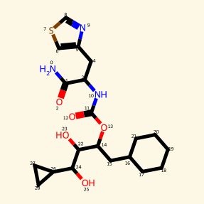 NC(=O)C(Cc1cscn1)NC(=O)OC(CC1CCCCC1)C(O)C(O)C1CC1